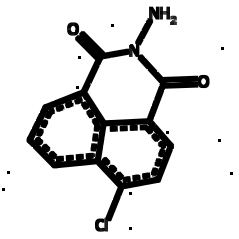 NN1C(=O)c2cccc3c(Cl)ccc(c23)C1=O